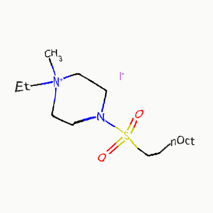 CCCCCCCCCS(=O)(=O)N1CC[N+](C)(CC)CC1.[I-]